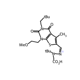 COCCn1c(=O)n(CC(C)(C)C)c(=O)c2c(C)c(/C=N\N(C(=O)O)C(C)(C)C)sc21